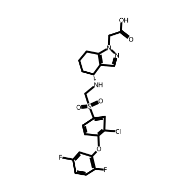 O=C(O)Cn1ncc2c1CCC[C@H]2NCS(=O)(=O)c1ccc(Oc2cc(F)ccc2F)c(Cl)c1